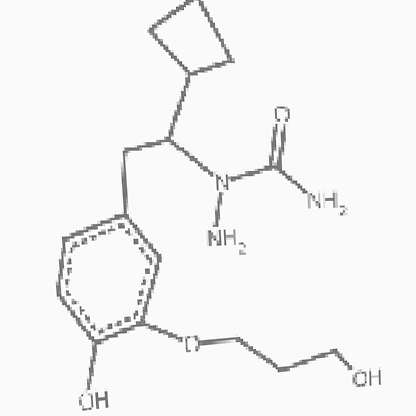 NC(=O)N(N)C(Cc1ccc(O)c(OCCCO)c1)C1CCC1